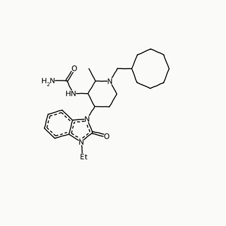 CCn1c(=O)n(C2CCN(CC3CCCCCCC3)C(C)C2NC(N)=O)c2ccccc21